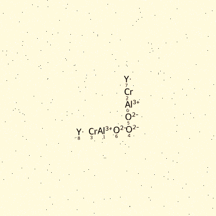 [Al+3].[Al+3].[Cr].[Cr].[O-2].[O-2].[O-2].[Y].[Y]